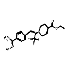 CCOC(=O)C1CCN(C(Cc2ccc(C(N)=NO)cc2)C(F)(F)F)CC1